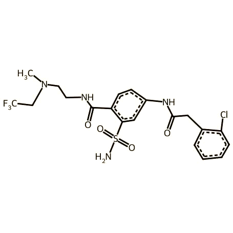 CN(CCNC(=O)c1ccc(NC(=O)Cc2ccccc2Cl)cc1S(N)(=O)=O)CC(F)(F)F